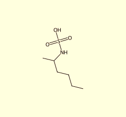 CCCCC(C)NS(=O)(=O)O